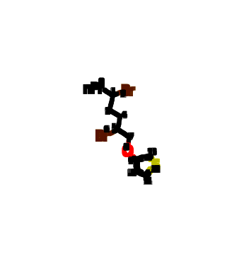 CCCC(Br)CCC(Br)COc1ccsc1